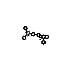 c1ccc(-c2nc(-c3ccccc3)nc(-c3ccc(-c4ccc5c(c4)oc4c(-c6ccccc6)c6ccccc6cc45)cc3)n2)cc1